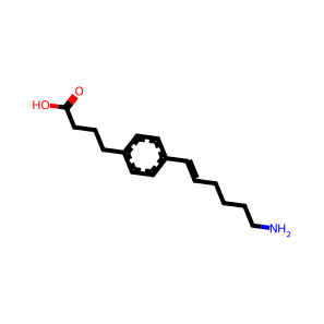 NCCCCC=Cc1ccc(CCCC(=O)O)cc1